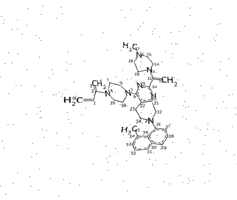 C=CC(=C)N1CCN(c2nc(C(=C)N3CCN(C)CC3)nc3c2CCN(c2cccc4cccc(C)c24)C3)CC1